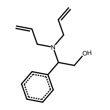 C=CCN(CC=C)C(CO)c1ccccc1